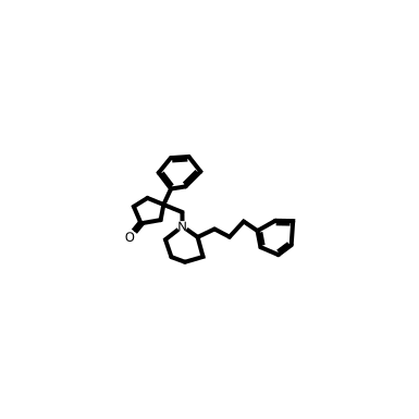 O=C1CCC(CN2CCCCC2CCCc2ccccc2)(c2ccccc2)C1